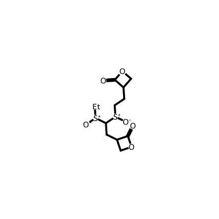 CC[S+]([O-])C(CC1COC1=O)[S+]([O-])CCC1COC1=O